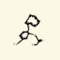 O=C(Cl)Oc1cc(C(F)(F)F)ccc1-c1ccccc1